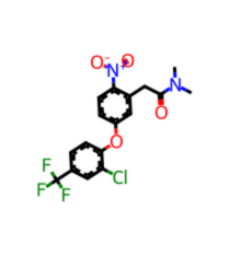 CN(C)C(=O)Cc1cc(Oc2ccc(C(F)(F)F)cc2Cl)ccc1[N+](=O)[O-]